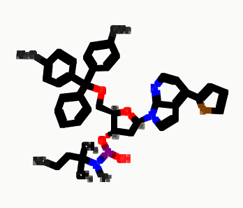 COc1ccc(C(OC[C@H]2O[C@@H](n3ccc4c(-c5cccs5)ccnc43)C[C@@H]2OP(O)N(C(C)C)C(C)(C)CCC#N)(c2ccccc2)c2ccc(OC)cc2)cc1